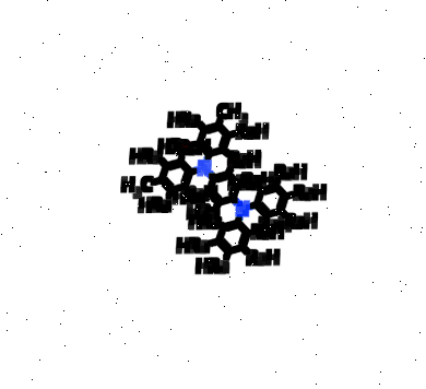 Cc1[c]([RaH])[c]([RaH])c(N(c2[c]([RaH])[c]([RaH])c(C)[c]([RaH])[c]2[RaH])c2[c]([RaH])[c]([RaH])c(N(c3[c]([RaH])[c]([RaH])[c]([RaH])[c]([RaH])[c]3[RaH])c3[c]([RaH])[c]([RaH])[c]([RaH])[c]([RaH])[c]3[RaH])[c]([RaH])[c]2[RaH])[c]([RaH])[c]1[RaH]